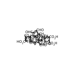 CC(C(=O)NCC(=O)NCC(CNC=O)(CNC(=O)CNC(=O)C(C)N1CCN(CC=O)CCN(CC(=O)O)CCN(CC(=O)O)CC1)CNC(=O)CNC(=O)C(C)N1CCN(CC=O)CCN(CC(=O)O)CCN(CC(=O)O)CC1)N1CCN(CC=O)CCN(CC=O)CCN(CC(=O)O)CC1